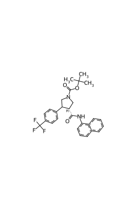 CC(C)(C)OC(=O)N1CC(c2ccc(C(F)(F)F)cc2)[C@@H](C(=O)Nc2cccc3ccccc23)C1